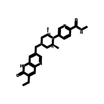 CCc1cc2ncc(CN3C[C@H](C)N(c4ccc(C(=O)NC)nc4)[C@@H](C)C3)cc2[nH]c1=O